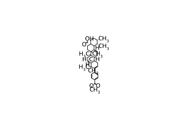 COC(=O)c1ccc(C2=CC[C@@]3(C)[C@H](CC[C@@]4(C)[C@H]3CC=C3[C@@H]5[C@@H](C)[C@@H](C)CC[C@]5(C(=O)O)CC[C@]34C)C2(C)C)cc1